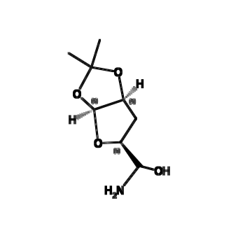 CC1(C)O[C@@H]2O[C@H](C(N)O)C[C@@H]2O1